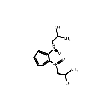 CC(C)C[PH](=O)c1ccccc1[PH](=O)CC(C)C